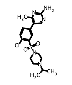 Cc1nc(N)ncc1-c1ccc(Cl)c(S(=O)(=O)N2CCN(C(C)C)CC2)c1